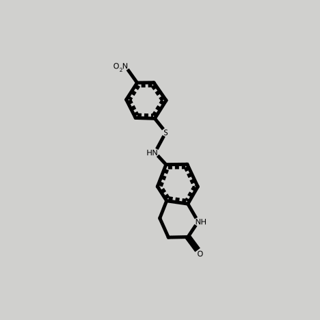 O=C1CCc2cc(NSc3ccc([N+](=O)[O-])cc3)ccc2N1